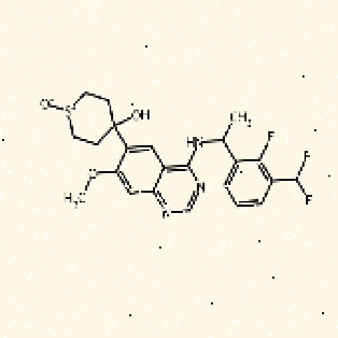 COc1cc2ncnc(NC(C)c3cccc(C(F)F)c3F)c2cc1C1(O)CC[S+]([O-])CC1